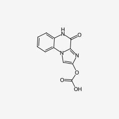 O=C(O)Oc1cn2c(n1)c(=O)[nH]c1ccccc12